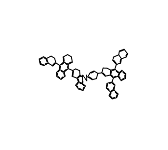 C1=CC2=CC(c3c4c(c(-c5ccc6ccccc6c5)c5ccccc35)C=C(C3C=CC(n5c6c(c7ccccc75)C=C(c5c7c(c(C8=Cc9ccccc9CC8)c8ccccc58)=CCCC=7)CC6)=CC3)CC4)=CCC2C=C1